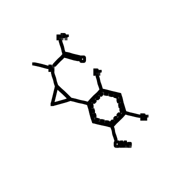 CCCC(=O)N(C)C1CC1c1cc(OC)c(Br)cc1Br